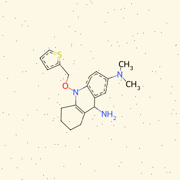 CN(C)c1ccc2c(c1)C(N)C1=C(CCCC1)N2OCc1cccs1